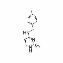 Cc1ccc(CNc2cc[nH]c(=O)n2)cc1